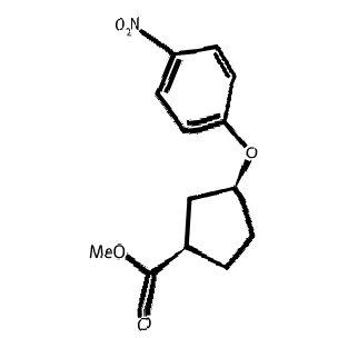 COC(=O)[C@@H]1CC[C@H](Oc2ccc([N+](=O)[O-])cc2)C1